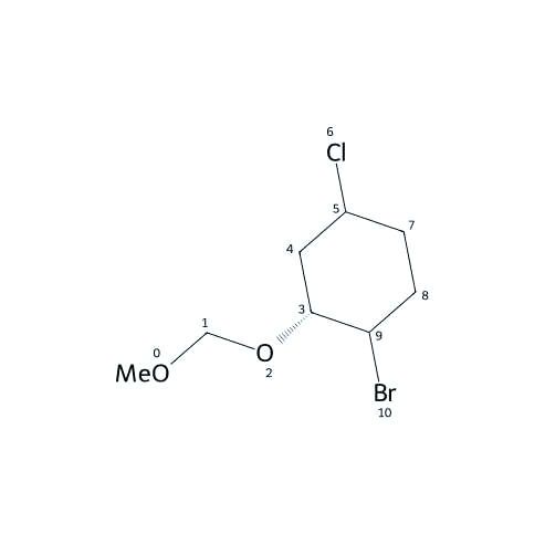 COCO[C@@H]1CC(Cl)CCC1Br